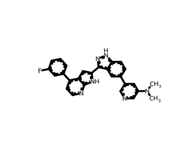 CN(C)c1cncc(-c2ccc3[nH]nc(-c4cc5c(-c6cccc(F)c6)ccnc5[nH]4)c3c2)c1